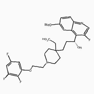 COc1ccc2ncc(F)c([C@H](O)CCC3(CC(=O)O)CCN(CCOc4cc(F)cc(F)c4F)CC3)c2c1